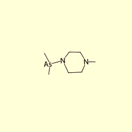 CN1CCN([As](C)C)CC1